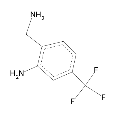 NCc1ccc(C(F)(F)F)cc1N